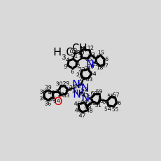 CC1(C)c2ccccc2-c2c1ccc1c3ccccc3n(-c3ccc(-c4nc(-c5ccc6c(c5)oc5ccccc56)nc(-n5c6ccccc6c6cc(-c7ccccc7)ccc65)n4)cc3)c21